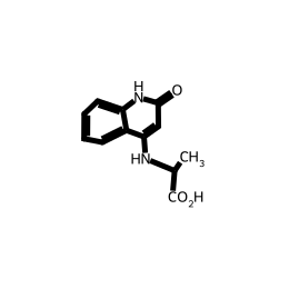 CC(Nc1cc(=O)[nH]c2ccccc12)C(=O)O